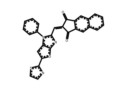 O=C1C(=Cc2nc3oc(-c4nccs4)cc3n2-c2ccccc2)C(=O)c2cc3ccccc3cc21